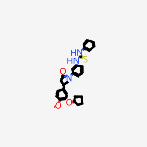 COc1ccc(C2CC(=O)N(c3cccc(NC(=S)Nc4ccccc4)c3)C2)cc1OC1CCCC1